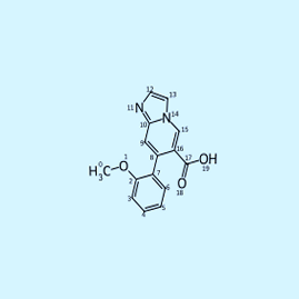 COc1ccccc1-c1cc2nccn2cc1C(=O)O